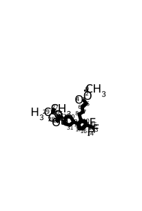 CCOC(=O)/C=C/CCc1cc(C(F)(F)F)ccc1C1CCN(C(=O)OC(C)(C)C)CC1